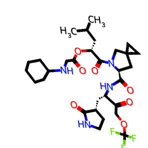 CC(C)C[C@@H](OC(=O)CNC1CCCCC1)C(=O)N1CC2(CC2)C[C@H]1C(=O)N[C@@H](C[C@@H]1CCNC1=O)C(=O)COC(F)(F)F